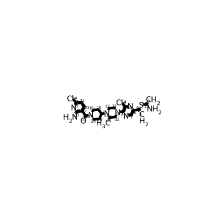 C=C(N)SC(=C)c1cnc(N2CCN(C3CCN(C(=O)c4ccc(Cl)nc4N)CC3)[C@@H](C)C2)c(Cl)n1